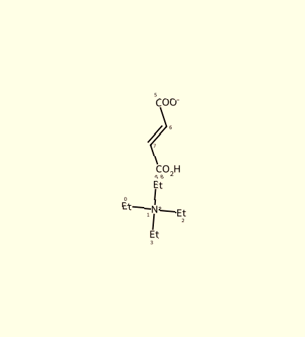 CC[N+](CC)(CC)CC.O=C([O-])C=CC(=O)O